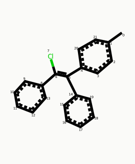 Cc1ccc(/C(=C(\Cl)c2ccccc2)c2ccccc2)cc1